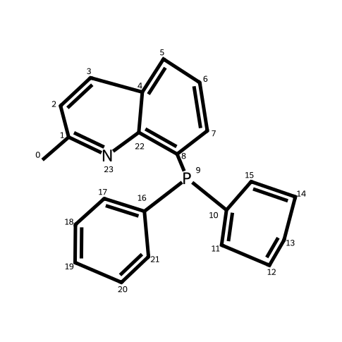 Cc1ccc2cccc(P(c3ccccc3)c3ccccc3)c2n1